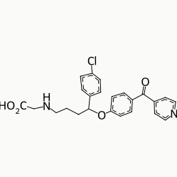 O=C(O)CNCCCC(Oc1ccc(C(=O)c2ccncc2)cc1)c1ccc(Cl)cc1